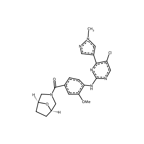 COc1cc(C(=O)N2C[C@H]3CC[C@@H](C2)O3)ccc1Nc1ncc(Cl)c(-c2cnn(C)c2)n1